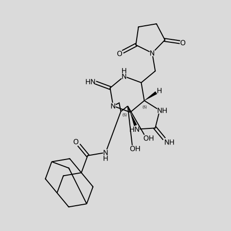 N=C1N[C@H]2C(CN3C(=O)CCC3=O)NC(=N)N3CC(NC(=O)C45CC6CC(CC(C6)C4)C5)C(O)(O)[C@]23N1